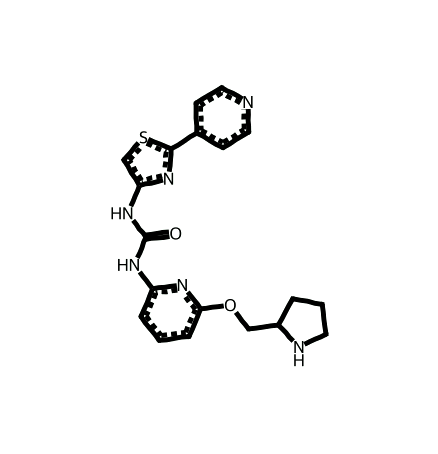 O=C(Nc1cccc(OCC2CCCN2)n1)Nc1csc(-c2ccncc2)n1